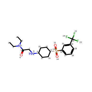 CCN(CC)C(=O)CN[C@H]1CC[C@H](S(=O)(=O)c2cccc(C(F)(F)F)c2)CC1